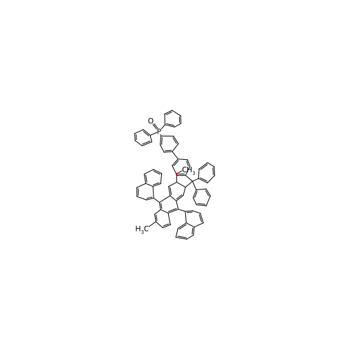 CCC1C=c2c(-c3cccc4ccccc34)c3cc(C)ccc3c(-c3cccc4ccccc34)c2=CC1C(c1ccccc1)(c1ccccc1)c1ccc(-c2ccc(P(=O)(c3ccccc3)c3ccccc3)cc2)cc1